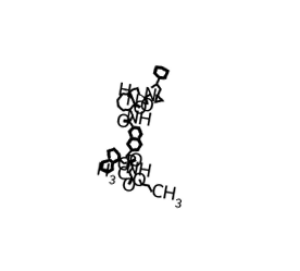 CCCCOC(=O)[C@H](C)NP(=O)(Cc1ccc2ccc(C(=O)N[C@H]3CCCC[C@H]4CC[C@@H](C(=O)N5CC(c6ccccc6)CC56CC6)N4C3=O)cc2c1)Oc1cccc2ccccc12